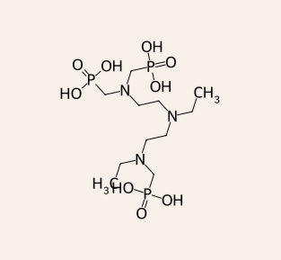 CCN(CCN(CC)CP(=O)(O)O)CCN(CP(=O)(O)O)CP(=O)(O)O